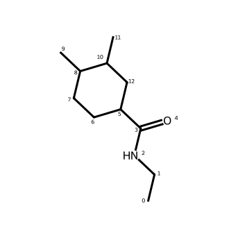 CCNC(=O)C1CCC(C)C(C)C1